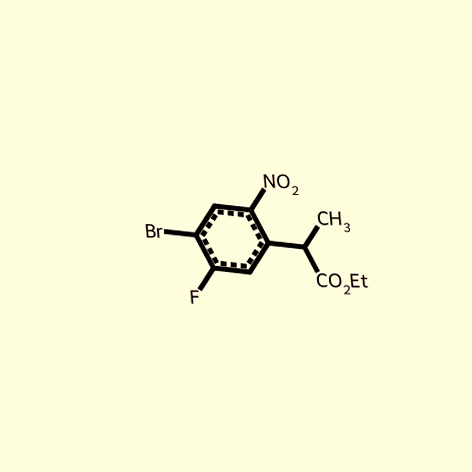 CCOC(=O)C(C)c1cc(F)c(Br)cc1[N+](=O)[O-]